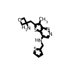 Cc1c(CC2(N)COC2)sc2c(NCc3cccs3)cnnc12